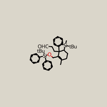 CC1=C(CO[Si](c2ccccc2)(c2ccccc2)C(C)(C)C)C(CCC=O)(c2ccccc2)C([Si](C)(C)C(C)(C)C)CC1